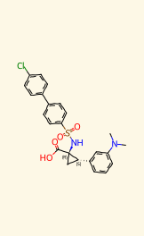 CN(C)c1cccc([C@@H]2C[C@]2(NS(=O)(=O)c2ccc(-c3ccc(Cl)cc3)cc2)C(=O)O)c1